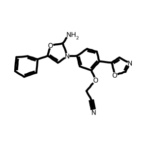 N#CCOc1cc(N2C=C(c3ccccc3)OC2N)ccc1-c1cnco1